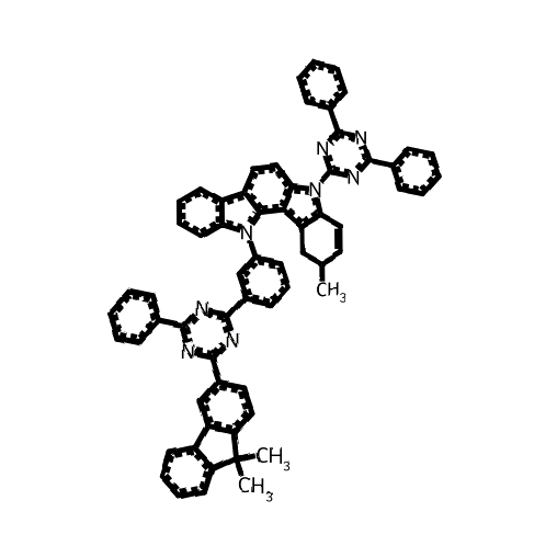 CC1C=Cc2c(c3c(ccc4c5ccccc5n(-c5cccc(-c6nc(-c7ccccc7)nc(-c7ccc8c(c7)-c7ccccc7C8(C)C)n6)c5)c43)n2-c2nc(-c3ccccc3)nc(-c3ccccc3)n2)C1